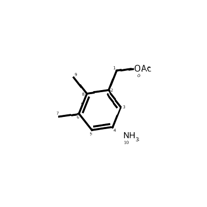 CC(=O)OCc1cccc(C)c1C.N